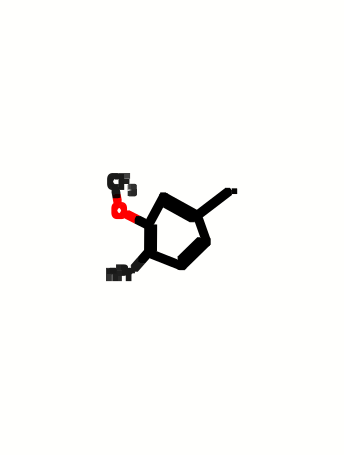 [CH2]c1ccc(CCC)c(OC(F)(F)F)c1